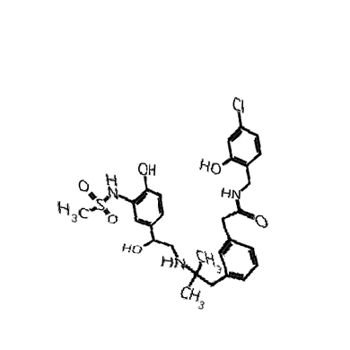 CC(C)(Cc1cccc(CC(=O)NCc2ccc(Cl)cc2O)c1)NCC(O)c1ccc(O)c(NS(C)(=O)=O)c1